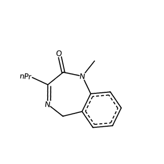 CCCC1=NCc2ccccc2N(C)C1=O